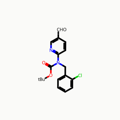 CC(C)(C)OC(=O)N(Cc1ccccc1Cl)c1ccc(C=O)cn1